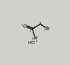 Cl.O=C(Br)CBr